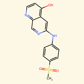 CS(=O)(=O)c1ccc(Nc2cc3c(O)ccnc3cn2)cc1